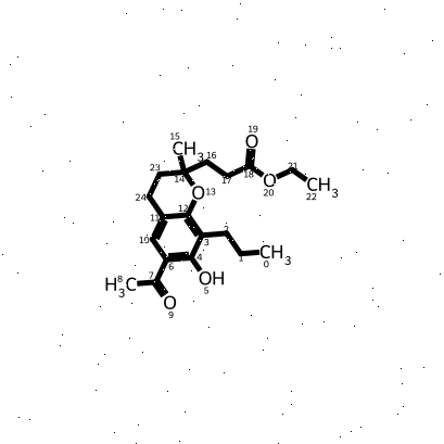 CCCc1c(O)c(C(C)=O)cc2c1OC(C)(CCC(=O)OCC)CC2